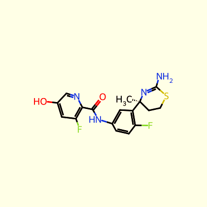 C[C@@]1(c2cc(NC(=O)c3ncc(O)cc3F)ccc2F)CCSC(N)=N1